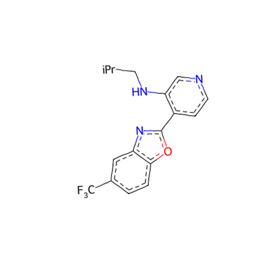 CC(C)CNc1cnccc1-c1nc2cc(C(F)(F)F)ccc2o1